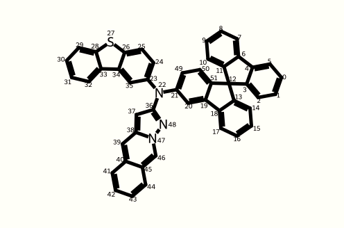 c1ccc2c(c1)-c1ccccc1C21c2ccccc2-c2cc(N(c3ccc4sc5ccccc5c4c3)c3cc4cc5ccccc5cn4n3)ccc21